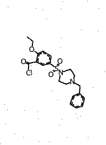 CCOc1ccc(S(=O)(=O)N2CCN(Cc3ccccc3)CC2)cc1C(=O)Cl